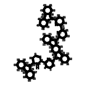 C1=CC(c2cccc(-n3c4ccccc4c4cc5c(cc43)c3ccccc3n5-c3cccc(-c4cccc(-n5c6ccccc6c6ccccc65)n4)n3)n2)NC(n2c3ccccc3c3ccccc32)=C1